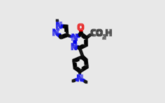 CN(C)c1ccc(-c2cc(C(=O)O)c(=O)n(-c3cnn(C)c3)n2)cc1